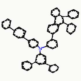 c1ccc(-c2ccc(-c3ccc(N(c4cccc(-c5ccc6c(c5)c(-c5ccccc5)c(-c5ccccc5)c5ccccc56)c4)c4cc(-c5ccccc5)cc(-c5ccccc5)c4)cc3)cc2)cc1